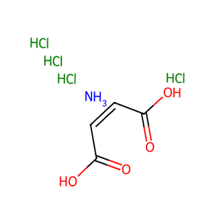 Cl.Cl.Cl.Cl.N.O=C(O)/C=C\C(=O)O